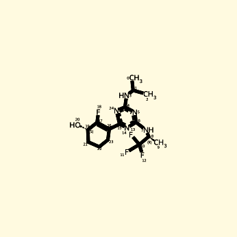 CC(C)Nc1nc(N[C@H](C)C(F)(F)F)nc(C2=C(F)[C@@H](O)CCC2)n1